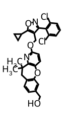 CC1(C)Cc2ccc(CO)cc2Oc2ccc(OCc3c(-c4c(Cl)cccc4Cl)noc3C3CC3)nc21